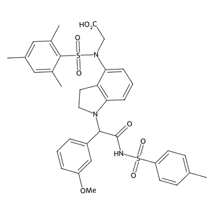 COc1cccc(C(C(=O)NS(=O)(=O)c2ccc(C)cc2)N2CCc3c2cccc3N(CC(=O)O)S(=O)(=O)c2c(C)cc(C)cc2C)c1